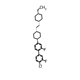 CC[C@H]1CC[C@H](CC[C@H]2CC[C@H](c3ccc(-c4ccc(Cl)c(F)c4)c(F)c3)CC2)CC1